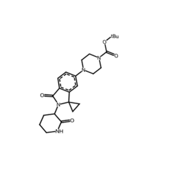 CC(C)(C)OC(=O)N1CCN(c2ccc3c(c2)C2(CC2)N(C2CCCNC2=O)C3=O)CC1